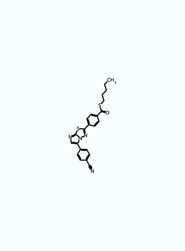 CCCCCSC(=O)c1ccc(-c2nn3c(-c4ccc(C#N)cc4)cnc3s2)cc1